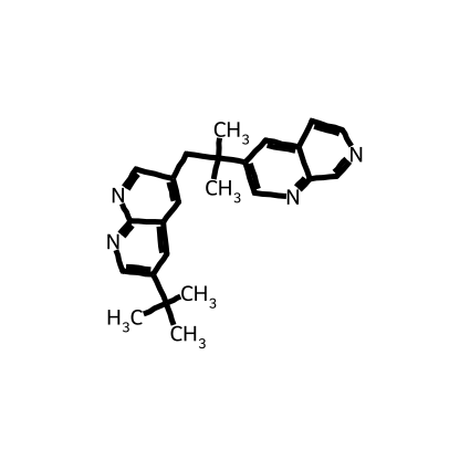 CC(C)(C)c1cnc2ncc(CC(C)(C)c3cnc4cnccc4c3)cc2c1